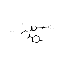 COC[C@H](C)N(C(=O)C1CCC(C)CC1)c1cc(C#CC(C)(C)C)sc1C(=O)O